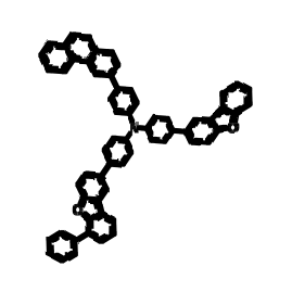 c1ccc(-c2cccc3c2oc2ccc(-c4ccc(N(c5ccc(-c6ccc7ccc8ccccc8c7c6)cc5)c5ccc(-c6ccc7oc8ccccc8c7c6)cc5)cc4)cc23)cc1